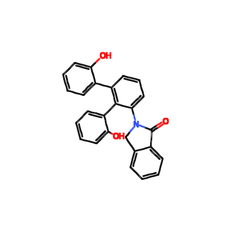 O=C1c2ccccc2CN1c1cccc(-c2ccccc2O)c1-c1ccccc1O